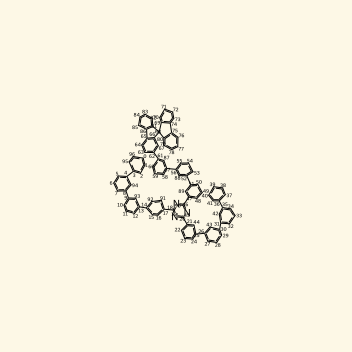 c1ccc(-c2cccc(-c3cccc(-c4ccc(-c5nc(-c6cccc(-c7cccc(-c8cccc(-c9ccccc9)c8)c7)c6)nc(-c6cccc(-c7cccc(-c8cccc(-c9ccc%10c(c9)C9(c%11ccccc%11-c%11ccccc%119)c9ccccc9-%10)c8)c7)c6)n5)cc4)c3)c2)cc1